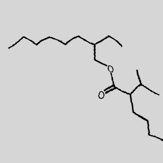 CCCCCCC(CC)COC(=O)C(CCCC)C(C)C